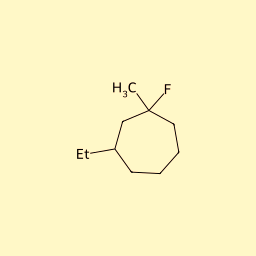 CCC1CCCCC(C)(F)C1